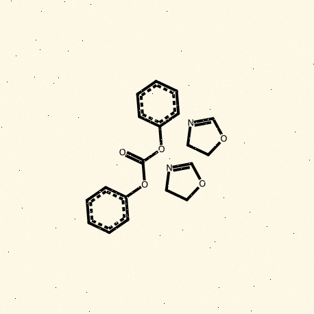 C1=NCCO1.C1=NCCO1.O=C(Oc1ccccc1)Oc1ccccc1